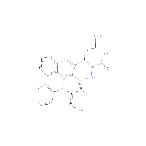 C=C(O)C1NC2=C(C)/C(=C\C(C)CC)N(c3ccccc3)c3c2c(cc2ccccc32)C1CCOC